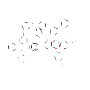 CC(C)(C)c1ccc2c(c1)c1cc(C(C)(C)C)ccc1n2-c1ccc2c(c1)N(c1c(-c3ccccc3)cc(-c3ccccc3)cc1-c1ccccc1)c1cc3cc4c1B2c1ccc(N2C5CC6CC(C5)CC2C6)cc1N4c1c(-c2ccccc2)cc(-c2ccccc2)cc1-c1ccc(cc1)C3(C)C